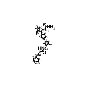 CC1CN(c2ccc(C3C(C(C)C(N)=O)OC(=O)N3F)cc2)CC1CNC(=O)COCc1ccccc1